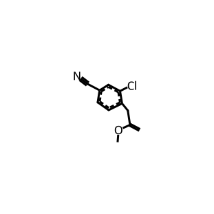 C=C(Cc1ccc(C#N)cc1Cl)OC